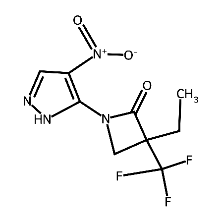 CCC1(C(F)(F)F)CN(c2[nH]ncc2[N+](=O)[O-])C1=O